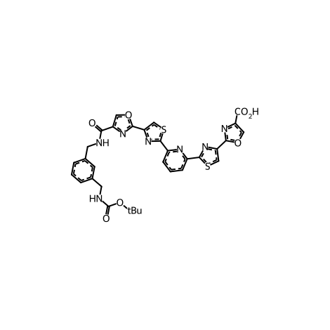 CC(C)(C)OC(=O)NCc1cccc(CNC(=O)c2coc(-c3csc(-c4cccc(-c5nc(-c6nc(C(=O)O)co6)cs5)n4)n3)n2)c1